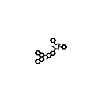 CC1C=c2ccc(C3N=C(c4ccccc4)NC(c4ccccc4)N3C)cc2=CC1c1cc2ccccc2c2c3c(ccc12)CCC=C3